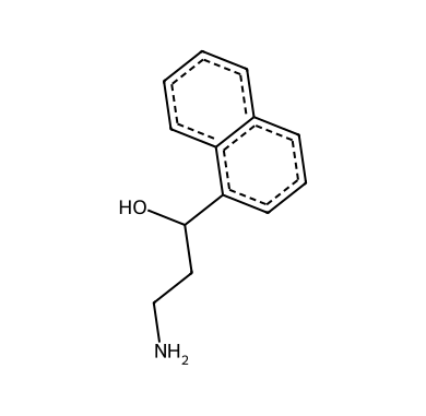 NCCC(O)c1cccc2ccccc12